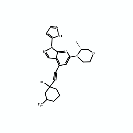 C[C@@H]1COCCN1c1cc(C#CC2(O)CCCC(C(F)(F)F)C2)c2cnn(-c3ccn[nH]3)c2n1